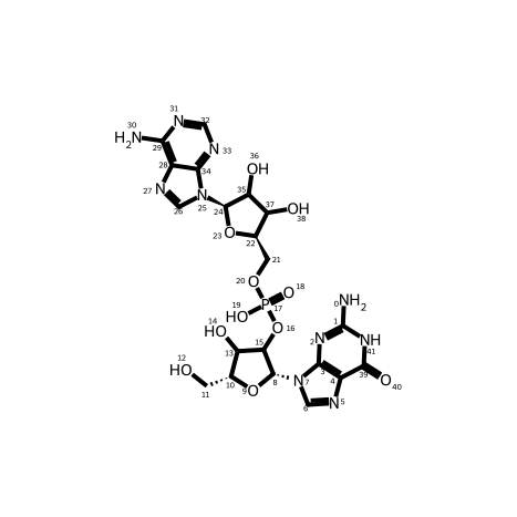 Nc1nc2c(ncn2[C@@H]2O[C@H](CO)C(O)C2OP(=O)(O)OC[C@H]2O[C@@H](n3cnc4c(N)ncnc43)C(O)C2O)c(=O)[nH]1